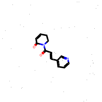 O=C1C=CCCN1C(=O)C=Cc1cccnc1